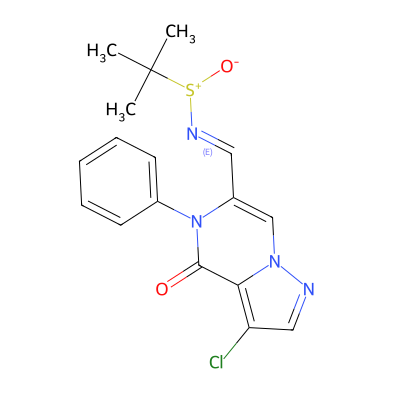 CC(C)(C)[S+]([O-])/N=C/c1cn2ncc(Cl)c2c(=O)n1-c1ccccc1